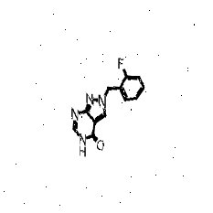 O=c1[nH]cnc2nn(Cc3ccccc3F)cc12